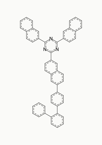 c1ccc(-c2ccccc2-c2ccc(-c3ccc4cc(-c5nc(-c6ccc7ccccc7c6)nc(-c6ccc7ccccc7c6)n5)ccc4c3)cc2)cc1